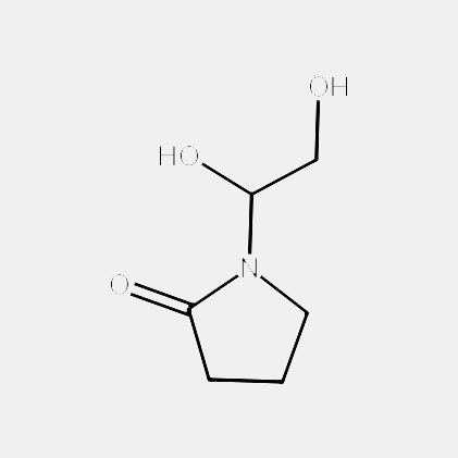 O=C1CCCN1C(O)CO